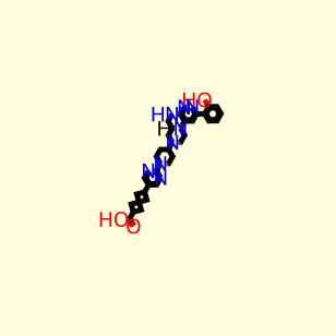 O=C(O)C1CC2(C1)CC(c1cnc(N3CCC(N4CCN5c6cc(-c7ccccc7O)nnc6NC[C@H]5C4)CC3)nc1)C2